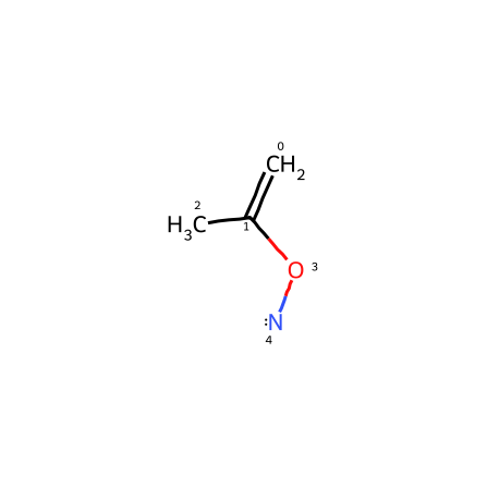 C=C(C)O[N]